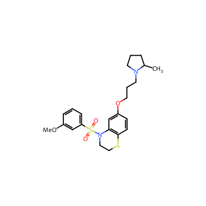 COc1cccc(S(=O)(=O)N2CCSc3ccc(OCCCN4CCCC4C)cc32)c1